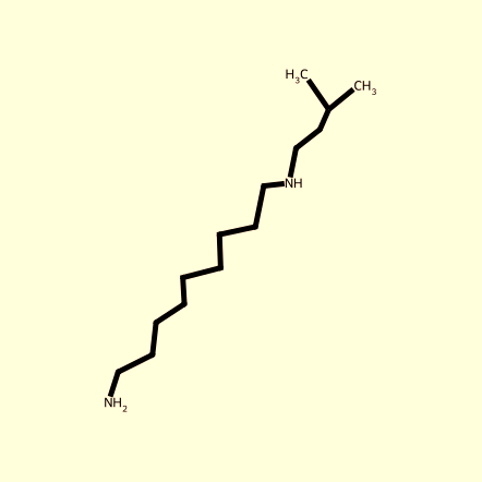 CC(C)CCNCCCCCCCCCN